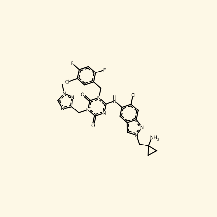 Cn1cnc(Cn2c(=O)nc(Nc3cc4cn(CC5(N)CC5)nc4cc3Cl)n(Cc3cc(Cl)c(F)cc3F)c2=O)n1